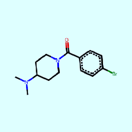 CN(C)C1CCN(C(=O)c2ccc(Br)cc2)CC1